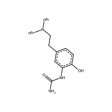 CCCN(CCC)CCc1ccc(O)c(NC(N)=O)c1